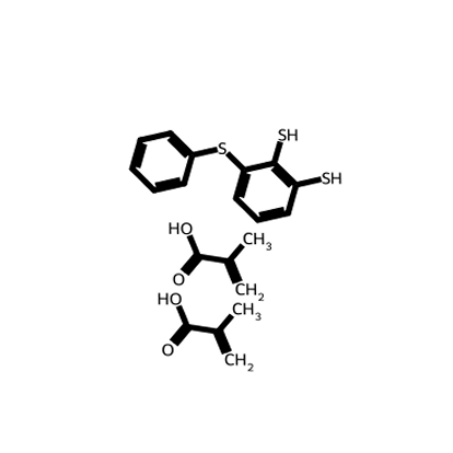 C=C(C)C(=O)O.C=C(C)C(=O)O.Sc1cccc(Sc2ccccc2)c1S